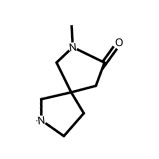 CN1CC2(CC[N]C2)CC1=O